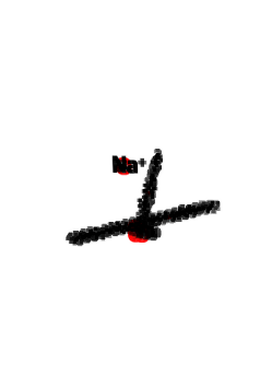 C=O.CCCCCCCCCCCCCCCCCCCc1c(CCCCCCCCCCCCCCCCCCC)c(S(=O)(=O)[O-])c2ccccc2c1CCCCCCCCCCCCCCCCCCC.[Na+]